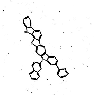 c1ccc(-c2ccc3c4cc5c(cc4n(-c4ccc6ccccc6c4)c3c2)sc2c5ccc3c4ccccc4[nH]c32)nc1